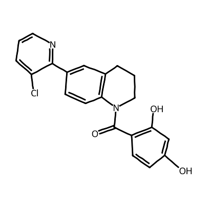 O=C(c1ccc(O)cc1O)N1CCCc2cc(-c3ncccc3Cl)ccc21